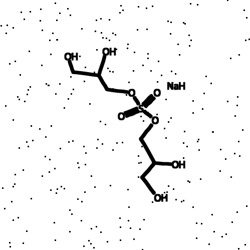 O=S(=O)(OCC(O)CO)OCC(O)CO.[NaH]